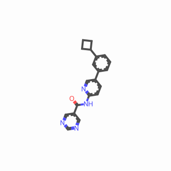 O=C(Nc1ccc(-c2cccc(C3CCC3)c2)cn1)c1cncnc1